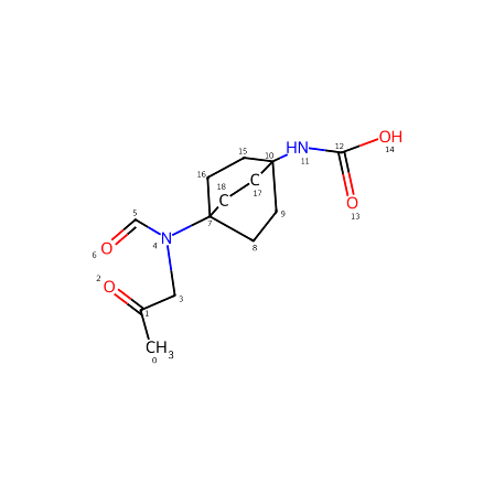 CC(=O)CN(C=O)C12CCC(NC(=O)O)(CC1)CC2